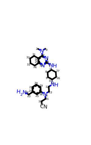 CN(C)c1nc(N[C@H]2CC[C@@H](NCCN(CCC#N)c3cccc(CN)c3)CC2)nc2c1CCCC2